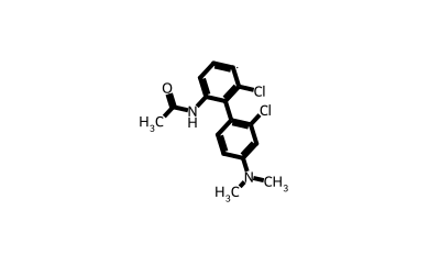 CC(=O)Nc1cc[c]c(Cl)c1-c1ccc(N(C)C)cc1Cl